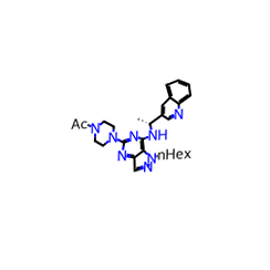 CCCCCCn1ncc2nc(N3CCN(C(C)=O)CC3)nc(N[C@H](C)c3cnc4ccccc4c3)c21